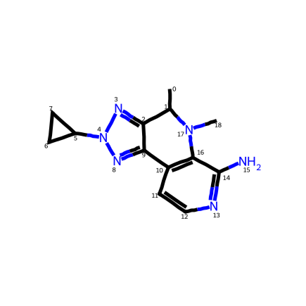 CC1c2nn(C3CC3)nc2-c2ccnc(N)c2N1C